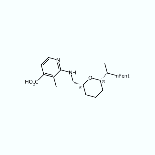 CCCCCC(C)[C@@H]1CCC[C@H](CNc2nccc(C(=O)O)c2C)O1